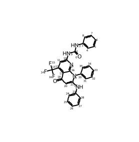 O=C(Nc1ccccc1)Nc1cc(C(F)(F)F)c2c(=O)cc(Nc3ccccc3)n(-c3ccccc3)c2n1